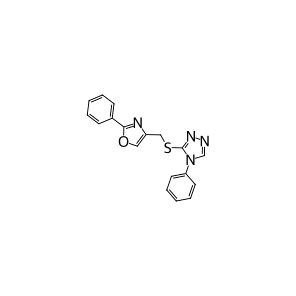 c1ccc(-c2nc(CSc3nncn3-c3ccccc3)co2)cc1